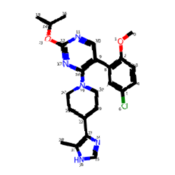 COc1ccc(Cl)cc1-c1cnc(OC(C)C)nc1N1CCC(c2nc[nH]c2C)CC1